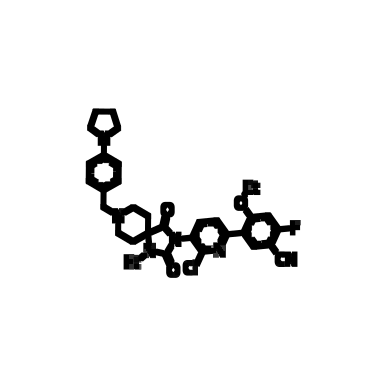 CCOc1cc(F)c(C#N)cc1-c1ccc(N2C(=O)N(CC)C3(CCN(Cc4ccc(N5CCCC5)cc4)CC3)C2=O)c(Cl)n1